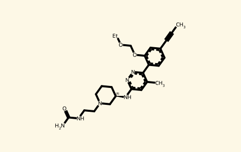 CC#Cc1ccc(-c2nnc(N[C@@H]3CCCN(CCNC(N)=O)C3)cc2C)c(OCOCC)c1